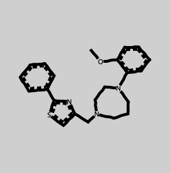 COc1ccccc1N1CCCN(Cc2csc(-c3ccccc3)n2)CC1